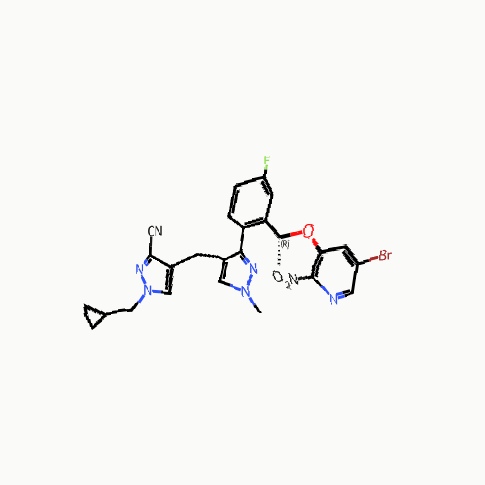 C[C@@H](Oc1cc(Br)cnc1[N+](=O)[O-])c1cc(F)ccc1-c1nn(C)cc1Cc1cn(CC2CC2)nc1C#N